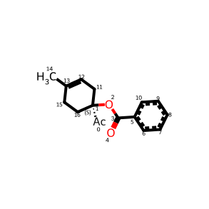 CC(=O)[C@@]1(OC(=O)c2ccccc2)CC=C(C)CC1